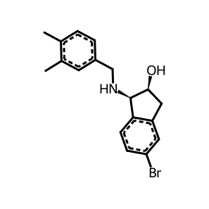 Cc1ccc(CN[C@@H]2c3ccc(Br)cc3C[C@@H]2O)cc1C